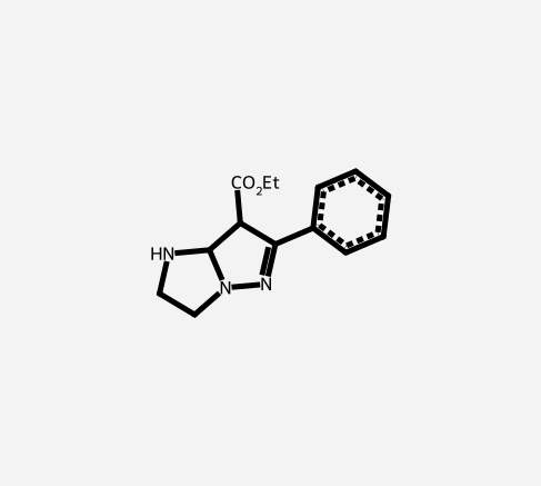 CCOC(=O)C1C(c2ccccc2)=NN2CCNC12